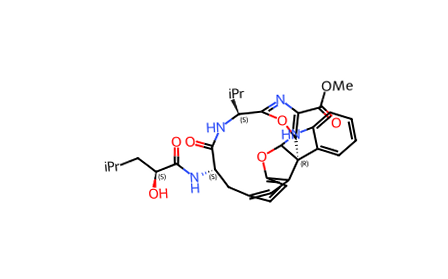 COC(=O)c1nc2oc1[C@@]13c4ccccc4NC1Oc1ccc(cc13)C[C@H](NC(=O)[C@@H](O)CC(C)C)C(=O)N[C@H]2C(C)C